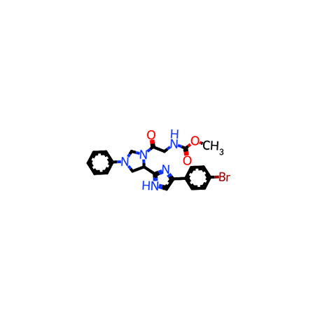 COC(=O)NCC(=O)N1CN(c2ccccc2)CC1c1nc(-c2ccc(Br)cc2)c[nH]1